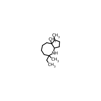 CCC1(C)CCCCC2(C)C(C)CCC2N1